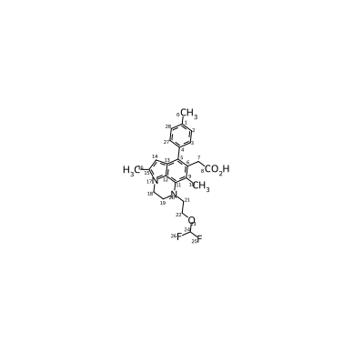 Cc1ccc(-c2c(CC(=O)O)c(C)c3c4c2cc(C)n4CCN3CCOC(F)F)cc1